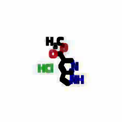 COC(=O)c1cnc2[nH]ccc2c1.Cl